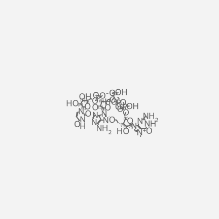 COCC[C@H]1[C@@H](O)[C@H](n2c[n+](C)c3c(=O)[nH]c(N)nc32)O[C@@H]1COP(=O)(O)OP(=O)(O)CP(=O)(O)OCC1O[C@@H](n2cnc3c(N)ncnc32)[C@H](OC)[C@@H]1P(=O)([O-])OC[C@H]1O[C@@H](n2ccc(=O)[nH]c2=O)[C@H](O)[C@@H]1O